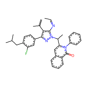 C=C(C)c1c(-c2ccc(CC(C)C)c(F)c2)nn(C(C)c2cc3ccccc3c(=O)n2-c2ccccc2)c1/N=C\C